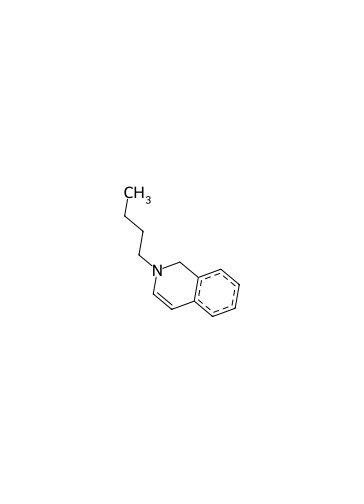 CCCCN1C=Cc2ccccc2C1